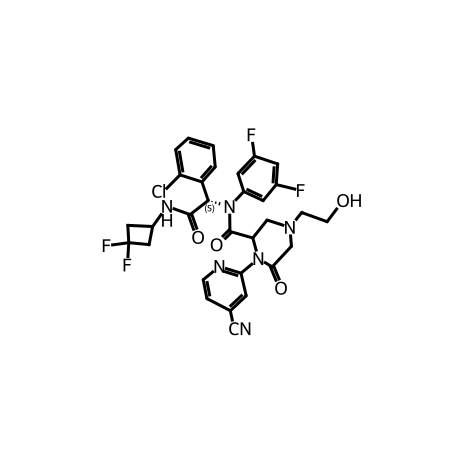 N#Cc1ccnc(N2C(=O)CN(CCO)CC2C(=O)N(c2cc(F)cc(F)c2)[C@H](C(=O)NC2CC(F)(F)C2)c2ccccc2Cl)c1